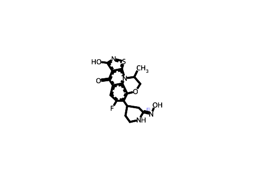 CC1COc2c(C3CCN/C(=N/O)C3)c(F)cc3c(=O)c4c(O)nsc4n1c23